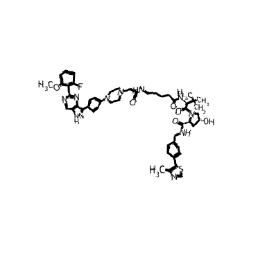 COc1cccc(F)c1-c1ncc2[nH]nc(-c3ccc(N4CCN(CC(=O)NCCCCC(=O)N[C@H](C(=O)N5C[C@H](O)C[C@H]5C(=O)NCc5ccc(-c6scnc6C)cc5)C(C)(C)C)CC4)cc3)c2n1